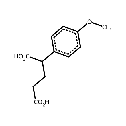 O=C(O)CCC(C(=O)O)c1ccc(OC(F)(F)F)cc1